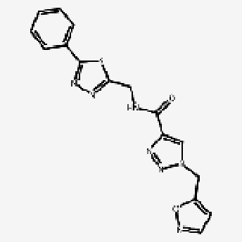 O=C(NCc1nnc(-c2ccccc2)s1)c1cn(Cc2ccno2)nn1